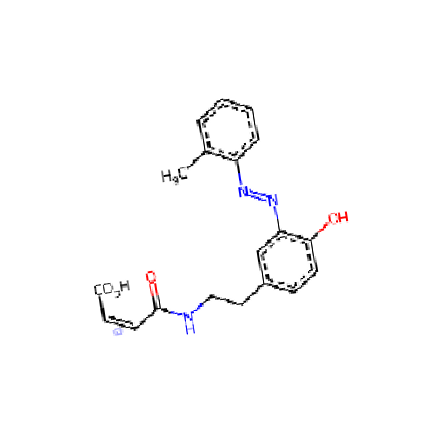 Cc1ccccc1N=Nc1cc(CCNC(=O)/C=C\C(=O)O)ccc1O